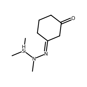 CN(N=C1CCCC(=O)C1)[SiH](C)C